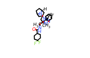 Cc1nnc(C(C)C)n1C1CC2CC[C@@H](C1)N2CCC(C)(CNC(=O)C1CCC(F)(F)CC1)c1ccccc1